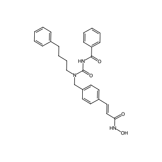 O=C(/C=C/c1ccc(CN(CCCCc2ccccc2)C(=O)NC(=O)c2ccccc2)cc1)NO